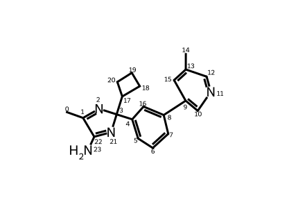 CC1=NC(c2cccc(-c3cncc(C)c3)c2)(C2CCC2)N=C1N